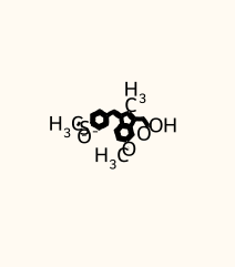 COc1ccc2c(c1)C(CC(=O)O)=C(C)/C2=C/c1ccc([S+](C)[O-])cc1